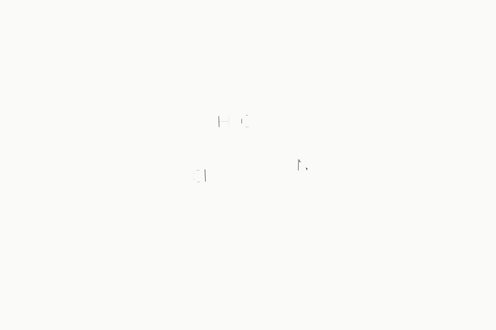 C[C@@H]1N=CC=CC1Cl